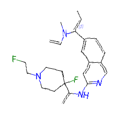 C=CN(C)/C(=C\C)c1ccc2cnc(NC(=C)C3(F)CCN(CCF)CC3)cc2c1